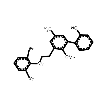 COc1c(CCNc2c(C(C)C)cccc2C(C)C)cc(C)cc1-c1ccccc1O